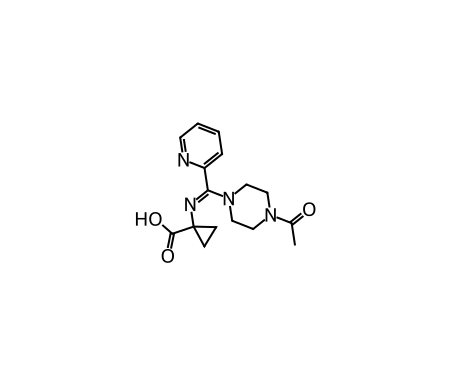 CC(=O)N1CCN(C(=NC2(C(=O)O)CC2)c2ccccn2)CC1